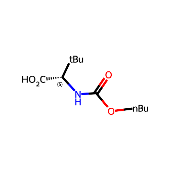 CCCCOC(=O)N[C@H](C(=O)O)C(C)(C)C